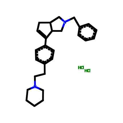 C1=C(c2ccc(CCN3CCCCC3)cc2)C2CN(Cc3ccccc3)CC2C1.Cl.Cl